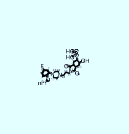 CCCOc1ccc(F)cc1N1CCN(CCCN2C(=O)C3CC(O)C(OP(=O)(O)O)CC3C2=O)CC1